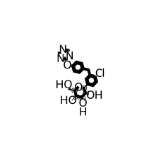 OC[C@H]1O[C@@H](c2ccc(Cl)c(Cc3ccc(Oc4ncncn4)cc3)c2)[C@H](O)[C@@H](O)[C@@H]1O